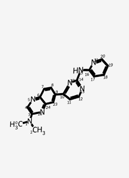 CN(C)c1cnc2ccc(-c3ccnc(Nc4cc[c]cn4)n3)cc2n1